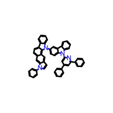 c1ccc(-c2cc(-c3ccccc3)nc(-n3c4ccccc4c4cc(-n5c6ccccc6c6ccc7cc8c(ccn8-c8ccccc8)cc7c65)ccc43)c2)cc1